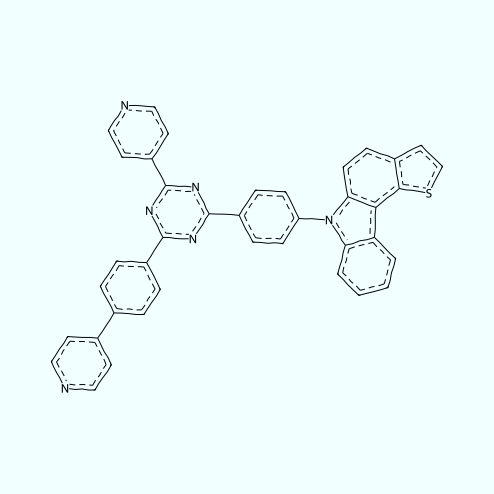 c1ccc2c(c1)c1c3sccc3ccc1n2-c1ccc(-c2nc(-c3ccncc3)nc(-c3ccc(-c4ccncc4)cc3)n2)cc1